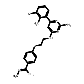 Cc1c(Cl)cccc1-c1cc(NCCOc2ccc(/C(N)=N/N)cc2)nc(N)n1